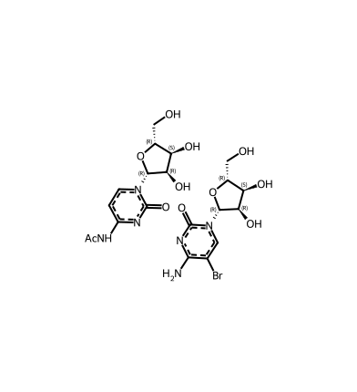 CC(=O)Nc1ccn([C@@H]2O[C@H](CO)[C@@H](O)[C@H]2O)c(=O)n1.Nc1nc(=O)n([C@@H]2O[C@H](CO)[C@@H](O)[C@H]2O)cc1Br